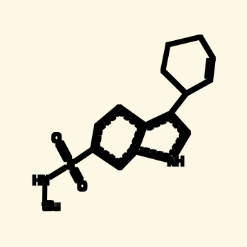 CC(C)(C)NS(=O)(=O)c1ccc2c(C3C=CCCC3)c[nH]c2c1